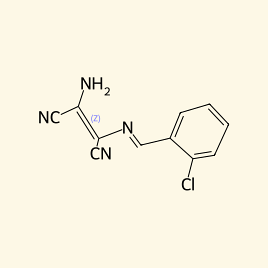 N#C/C(N)=C(\C#N)N=Cc1ccccc1Cl